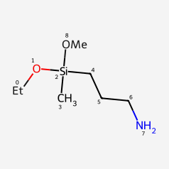 CCO[Si](C)(CCCN)OC